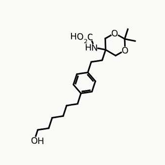 CC1(C)OCC(CCc2ccc(CCCCCCO)cc2)(NC(=O)O)CO1